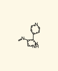 C=Nc1c[nH]nc1-c1ccncc1